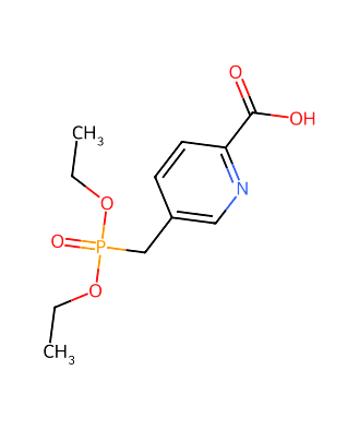 CCOP(=O)(Cc1ccc(C(=O)O)nc1)OCC